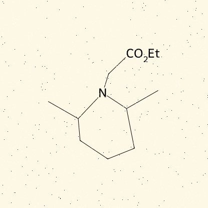 CCOC(=O)CN1C(C)CCCC1C